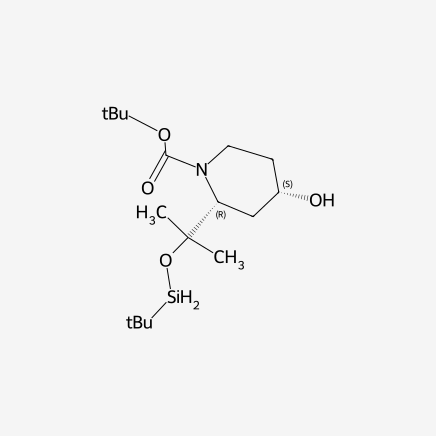 CC(C)(C)OC(=O)N1CC[C@H](O)C[C@@H]1C(C)(C)O[SiH2]C(C)(C)C